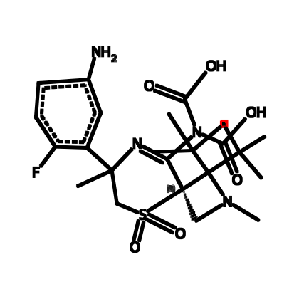 CN1C[C@]2(C(N(C(=O)O)C(=O)O)=NC(C)(c3cc(N)ccc3F)CS2(=O)=O)C1(C(C)(C)C)C(C)(C)C